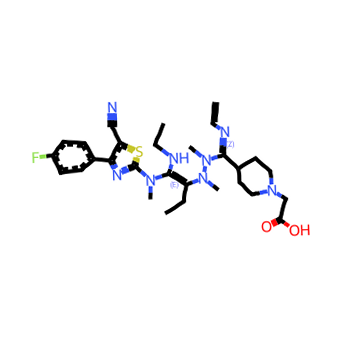 C=C/N=C(/C1CCN(CC(=O)O)CC1)N(C)N(C)/C(CC)=C(\NCC)N(C)c1nc(-c2ccc(F)cc2)c(C#N)s1